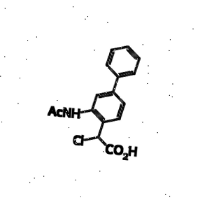 CC(=O)Nc1cc(-c2ccccc2)ccc1C(Cl)C(=O)O